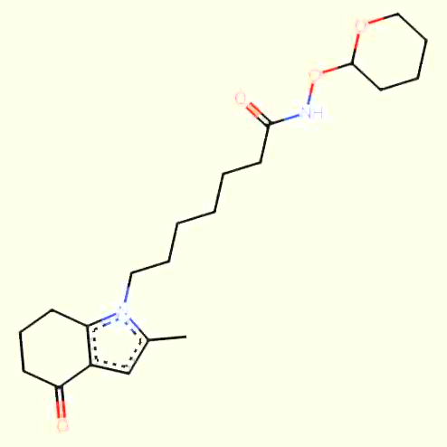 Cc1cc2c(n1CCCCCCC(=O)NOC1CCCCO1)CCCC2=O